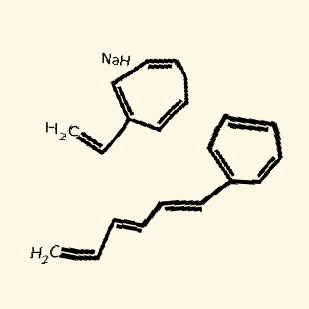 C=CC=CC=Cc1ccccc1.C=Cc1ccccc1.[NaH]